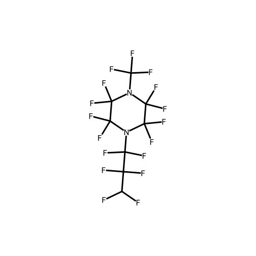 FC(F)C(F)(F)C(F)(F)N1C(F)(F)C(F)(F)N(C(F)(F)F)C(F)(F)C1(F)F